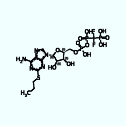 CCCSc1nc(N)c2ncn([C@@H]3O[C@H](COP(=O)(O)OP(=O)(O)C(F)(F)P(=O)(O)O)[C@@H](O)[C@H]3O)c2n1